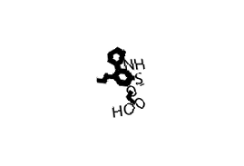 CCCc1cc(OCC(=O)O)c(SC)c2[nH]c3ccccc3c12